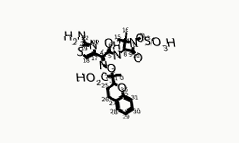 CC(O/N=C(\C(=O)N[C@@H]1C(=O)N(OS(=O)(=O)O)C1(C)C)c1csc(N)n1)(C(=O)O)C1CCc2ccccc2O1